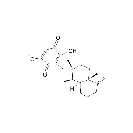 C=C1CCC[C@H]2[C@@H](C)[C@](C)(CC3=C(O)C(=O)C=C(OC)C3=O)CC[C@]12C